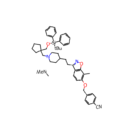 CNC.Cc1c(OCc2ccc(C#N)cc2)ccc2c(CCC3CCN(CC4(CO[Si](c5ccccc5)(c5ccccc5)C(C)(C)C)CCCC4)CC3)noc12